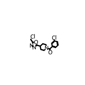 O=C(c1cccc(Cl)c1)N1CCC(c2nnc(CCl)o2)CC1